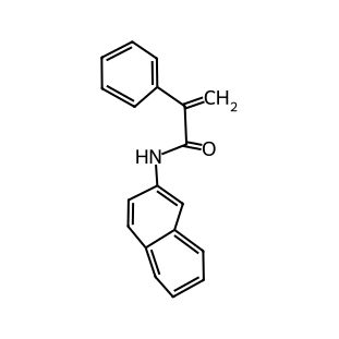 C=C(C(=O)Nc1ccc2ccccc2c1)c1ccccc1